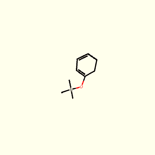 C[Si](C)(C)OC1=CC=CCC1